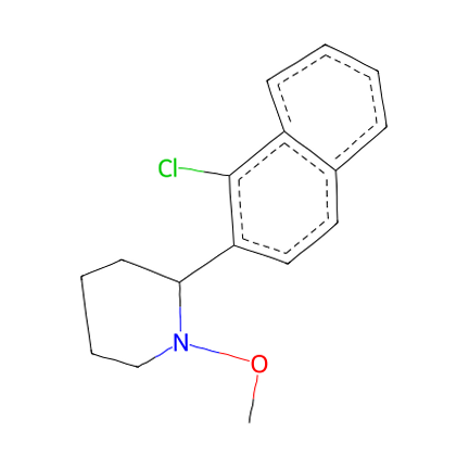 CON1CCCCC1c1ccc2ccccc2c1Cl